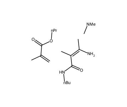 C=C(C)C(=O)OCCC.CCCCNC(=O)/C(C)=C(/C)N.CNC